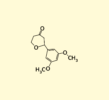 COc1cc(OC)cc(C2CC(=O)CCO2)c1